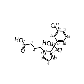 O=C(O)CCCn1ccnc1C(O)(Cl)c1cccc(Cl)c1